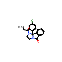 COCC(=O)N1CCN2C(=O)c3ccccc3C12c1ccc(Cl)cc1